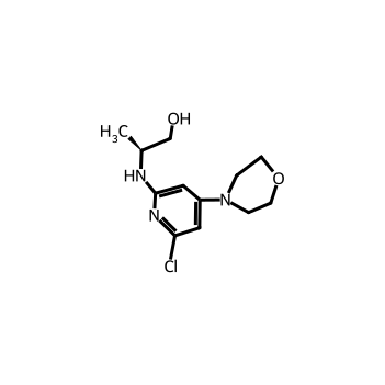 C[C@@H](CO)Nc1cc(N2CCOCC2)cc(Cl)n1